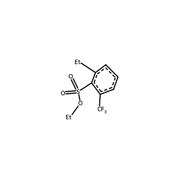 CCOS(=O)(=O)c1c(CC)cccc1C(F)(F)F